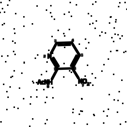 CC(=O)Nc1ncccc1[N+](=O)[O-]